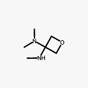 CNC1(N(C)C)COC1